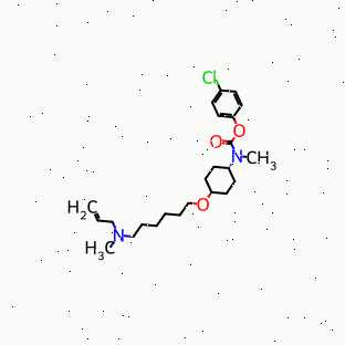 C=CCN(C)CCCCCCO[C@H]1CC[C@H](N(C)C(=O)Oc2ccc(Cl)cc2)CC1